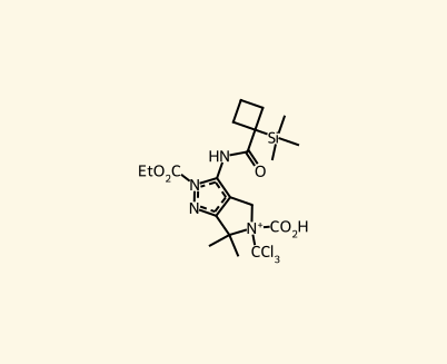 CCOC(=O)n1nc2c(c1NC(=O)C1([Si](C)(C)C)CCC1)C[N+](C(=O)O)(C(Cl)(Cl)Cl)C2(C)C